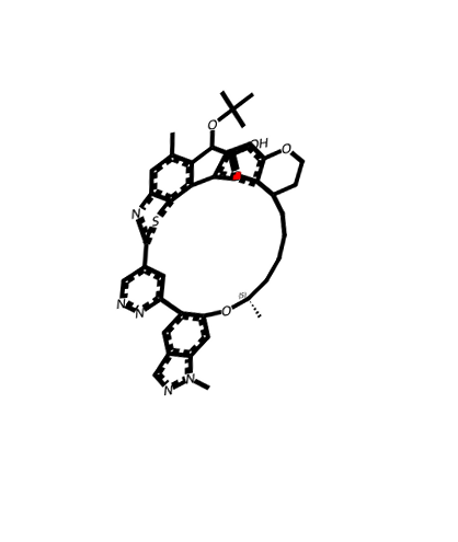 Cc1cc2nc3sc2c(c1C(OC(C)(C)C)C(=O)O)-c1ccc2c(c1)C(CCCC[C@H](C)Oc1cc4c(cnn4C)cc1-c1cc-3cnn1)CCO2